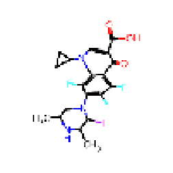 CC1CN(c2c(F)c(F)c3c(=O)c(C(=O)O)cn(C4CC4)c3c2F)C(I)C(C)N1